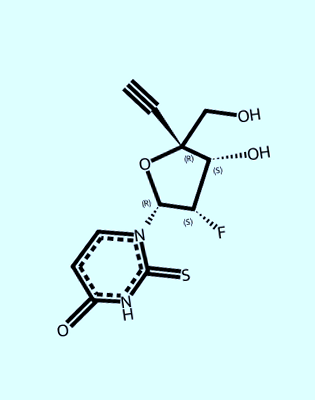 C#C[C@]1(CO)O[C@@H](n2ccc(=O)[nH]c2=S)[C@@H](F)[C@H]1O